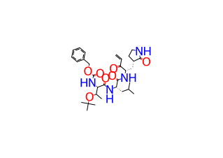 C=CC(=O)[C@H](C[C@@H]1CCNC1=O)NC(=O)[C@H](CC(C)C)NC(=O)[C@@H](NC(=O)OCc1ccccc1)C(C)OC(C)(C)C